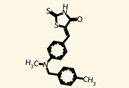 Cc1ccc(CN(C)c2ccc(/C=C3\SC(=S)NC3=O)cc2)cc1